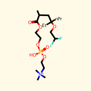 CCCC(CC)(CC(C)C(=O)OCCOP(=O)(O)OCC[N+](C)(C)C)OCC(F)F